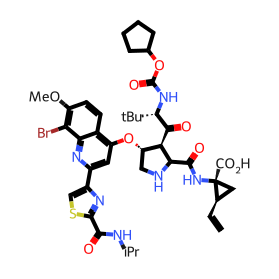 C=C[C@@H]1C[C@]1(NC(=O)C1NC[C@H](Oc2cc(-c3csc(C(=O)NC(C)C)n3)nc3c(Br)c(OC)ccc23)[C@H]1C(=O)[C@@H](NC(=O)OC1CCCC1)C(C)(C)C)C(=O)O